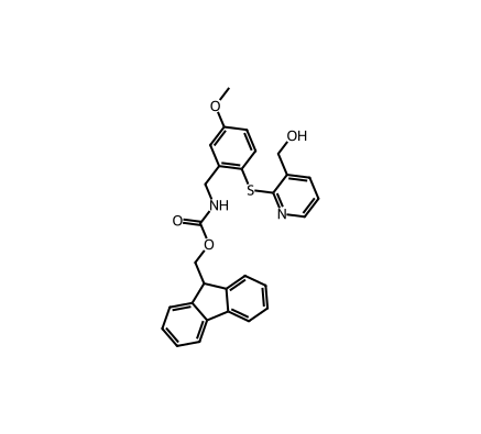 COc1ccc(Sc2ncccc2CO)c(CNC(=O)OCC2c3ccccc3-c3ccccc32)c1